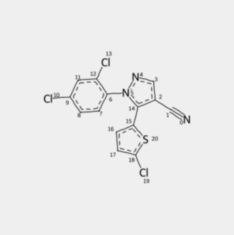 N#Cc1cnn(-c2ccc(Cl)cc2Cl)c1-c1ccc(Cl)s1